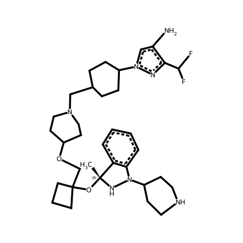 C[C@]1(OC2(COC3CCN(CC4CCC(n5cc(N)c(C(F)F)n5)CC4)CC3)CCC2)NN(C2CCNCC2)c2ccccc21